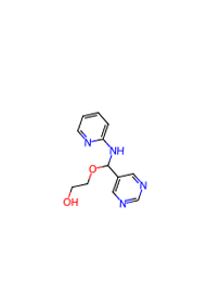 OCCOC(Nc1ccccn1)c1cncnc1